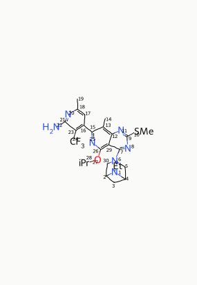 CCN1C2CC1CN(c1nc(SC)nc3c(C)c(-c4cc(C)nc(N)c4C(F)(F)F)nc(OC(C)C)c13)C2